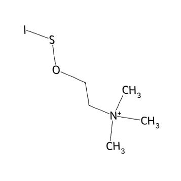 C[N+](C)(C)CCOSI